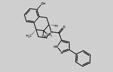 CC1(C)[C@H]2Cc3c(O)cccc3[C@]1(C)CCN2C(=O)c1cc(-c2ccccc2)n[nH]1